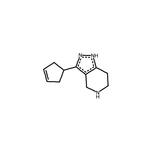 C1=CCC(c2n[nH]c3c2CNCC3)C1